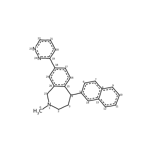 CN1CCC(c2ccc3ccccc3c2)c2ccc(-c3cccnn3)cc2C1